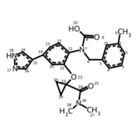 Cc1cccc(CN(C(=O)O)c2ccc(-c3cn[nH]c3)cc2OC2(C(=O)N(C)C)CC2)c1